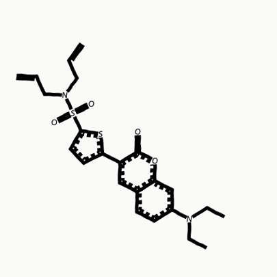 C=CCN(CC=C)S(=O)(=O)c1ccc(-c2cc3ccc(N(CC)CC)cc3oc2=O)s1